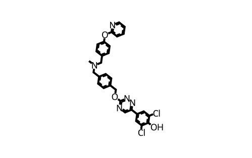 CN(Cc1ccc(COc2ncc(-c3cc(Cl)c(O)c(Cl)c3)nn2)cc1)Cc1ccc(Oc2ccccn2)cc1